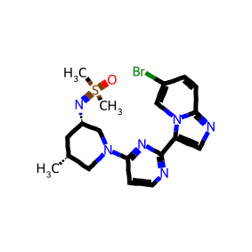 C[C@@H]1C[C@H](N=S(C)(C)=O)CN(c2ccnc(-c3cnc4ccc(Br)cn34)n2)C1